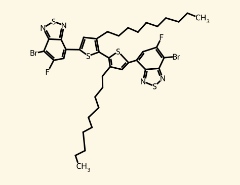 CCCCCCCCCCc1cc(-c2cc(F)c(Br)c3nsnc23)sc1-c1sc(-c2cc(F)c(Br)c3nsnc23)cc1CCCCCCCCCC